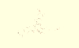 CCN(CC)C(=O)c1cccc(Nc2nc(Nc3cccc(N)c3)nc3c(CCCCC=O)cnn23)c1